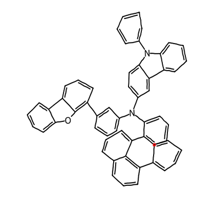 c1ccc(-c2cccc3cccc(-c4ccccc4N(c4cccc(-c5cccc6c5oc5ccccc56)c4)c4ccc5c(c4)c4ccccc4n5-c4ccccc4)c23)cc1